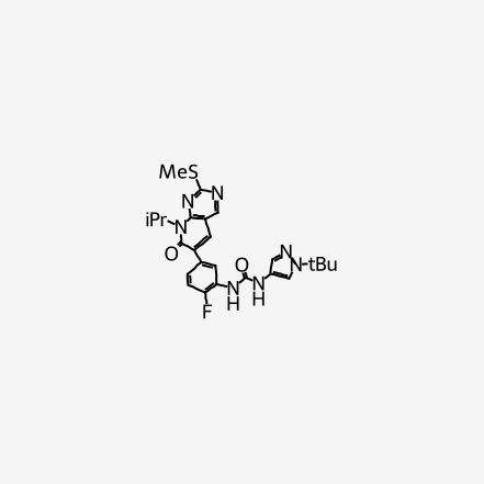 CSc1ncc2cc(-c3ccc(F)c(NC(=O)Nc4cnn(C(C)(C)C)c4)c3)c(=O)n(C(C)C)c2n1